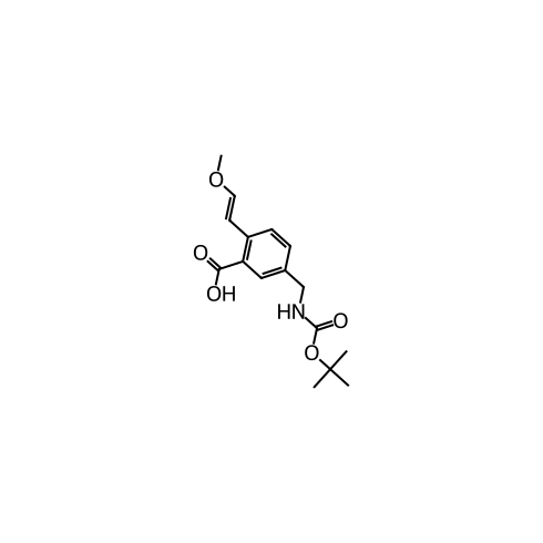 COC=Cc1ccc(CNC(=O)OC(C)(C)C)cc1C(=O)O